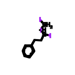 I[SiH2][I][SiH](I)CCc1ccccc1